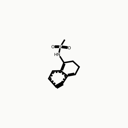 CS(=O)(=O)NC1=c2ccc#cc2=CCC1